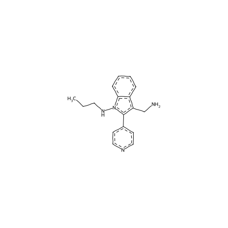 CCCNn1c(-c2ccncc2)c(CN)c2ccccc21